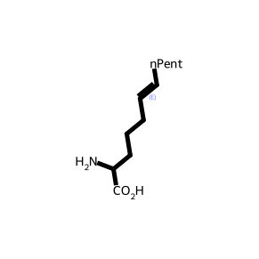 CCCCC/C=C/CCCC(N)C(=O)O